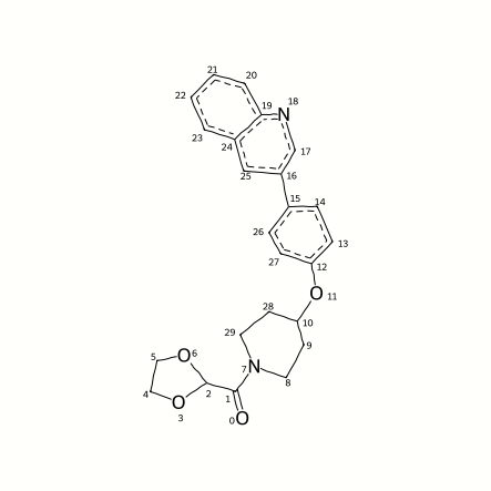 O=C(C1OCCO1)N1CCC(Oc2ccc(-c3cnc4ccccc4c3)cc2)CC1